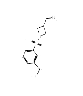 CCc1cccc(S(=O)(=O)N2CC(CN)C2)c1